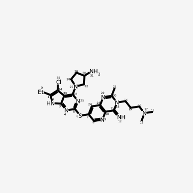 CCc1[nH]c2nc(Sc3cnc4c(=N)n(CCCN(C)C)c(C)nc4c3)nc(N3CCC(N)C3)c2c1Cl